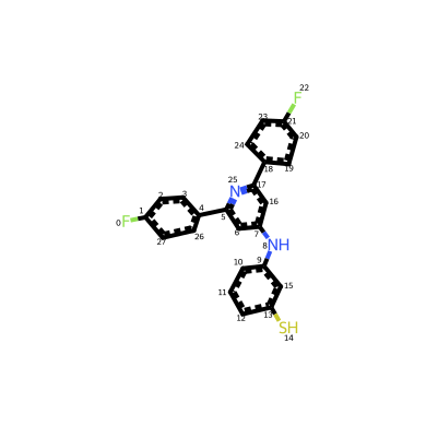 Fc1ccc(-c2cc(Nc3cccc(S)c3)cc(-c3ccc(F)cc3)n2)cc1